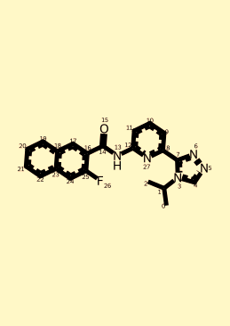 CC(C)n1cnnc1-c1cccc(NC(=O)c2cc3ccccc3cc2F)n1